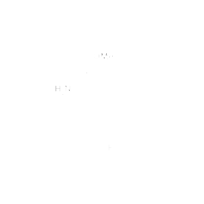 CO[C@@H](N)c1cccc(F)c1